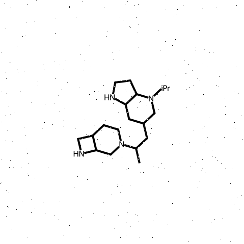 CC(CC1CC2NCCC2N(C(C)C)C1)N1CCC2CNC2C1